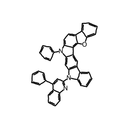 c1ccc(-c2cc(-n3c4ccccc4c4cc5c6c7oc8ccccc8c7ccc6n(-c6ccccc6)c5cc43)nc3ccccc23)cc1